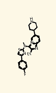 CCc1nc2ccc(C3CCNCC3)cn2c1N(C)c1nc(-c2ccc(F)cc2)cs1